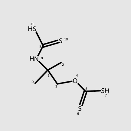 CC(C)(COC(=S)S)NC(=S)S